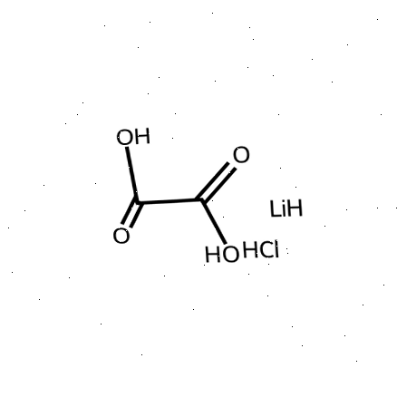 Cl.O=C(O)C(=O)O.[LiH]